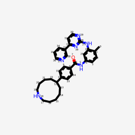 Cc1ccc(NC(=O)c2ccc(C3CCCCCNCCCC3)cc2)cc1Nc1nccc(-c2cccnc2)n1